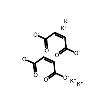 O=C([O-])/C=C\C(=O)[O-].O=C([O-])/C=C\C(=O)[O-].[K+].[K+].[K+].[K+]